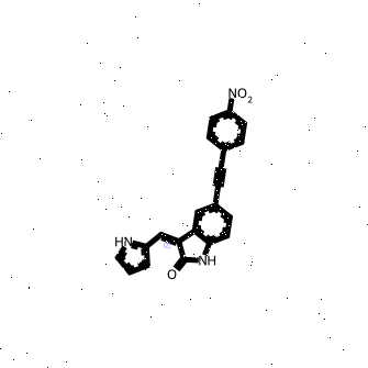 O=C1Nc2ccc(C#Cc3ccc([N+](=O)[O-])cc3)cc2/C1=C/c1ccc[nH]1